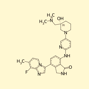 Cc1ccn2c(-c3ccc(Nc4ccc(N5CCC[C@](O)(CN(C)C)C5)cn4)c4c3CNC4=O)cnc2c1F